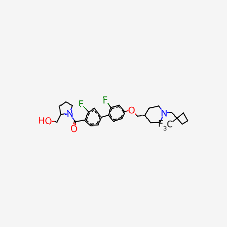 O=C(c1ccc(-c2ccc(OCC3CCN(CC4(C(F)(F)F)CCC4)CC3)cc2F)cc1F)N1CCCC1CO